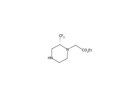 CCOC(=O)CN1CCNC[C@@H]1C(F)(F)F